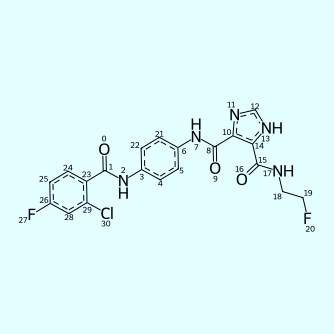 O=C(Nc1ccc(NC(=O)c2nc[nH]c2C(=O)NCCF)cc1)c1ccc(F)cc1Cl